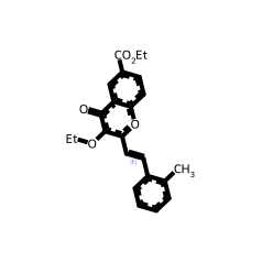 CCOC(=O)c1ccc2oc(/C=C/c3ccccc3C)c(OCC)c(=O)c2c1